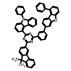 CC1(C)c2ccccc2-c2cc(-c3nc(-c4cccc(-c5ccc6c(c5)oc5cccc(-c7ccccc7)c56)c4)nc(-c4cccc5c4c4ccccc4n5-c4ccccc4)n3)ccc21